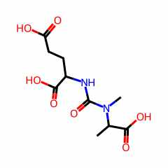 CC(C(=O)O)N(C)C(=O)NC(CCC(=O)O)C(=O)O